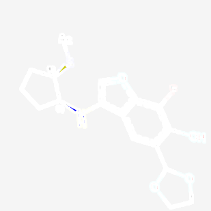 CC(=O)S[C@@H]1CCC[C@@H]1Nc1coc2c(F)c(O)c(C3OCCO3)cc12